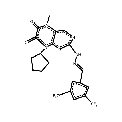 Cn1c(=O)c(=O)n(C2CCCC2)c2nc(N/N=C/c3cc(C(F)(F)F)cc(C(F)(F)F)c3)ncc21